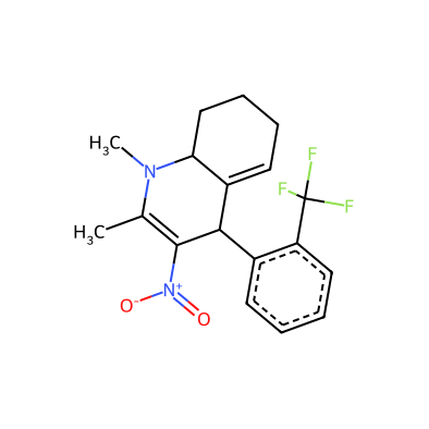 CC1=C([N+](=O)[O-])C(c2ccccc2C(F)(F)F)C2=CCCCC2N1C